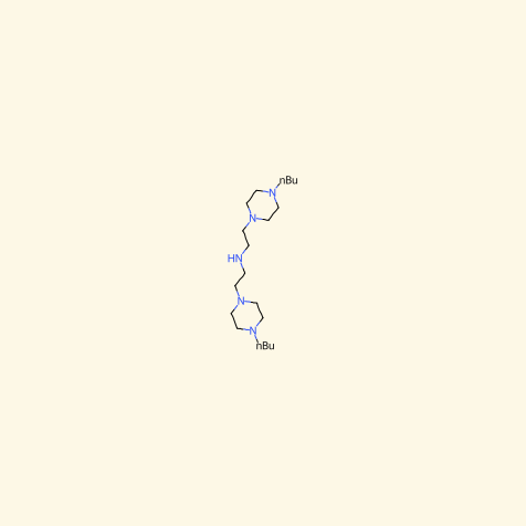 CCCCN1CCN(CCNCCN2CCN(CCCC)CC2)CC1